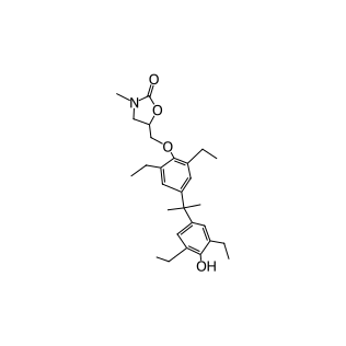 CCc1cc(C(C)(C)c2cc(CC)c(OCC3CN(C)C(=O)O3)c(CC)c2)cc(CC)c1O